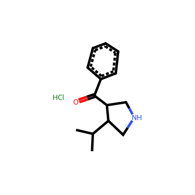 CC(C)C1CNCC1C(=O)c1ccccc1.Cl